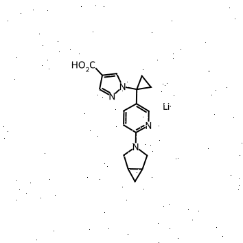 O=C(O)c1cnn(C2(c3ccc(N4CC5CC5C4)nc3)CC2)c1.[Li]